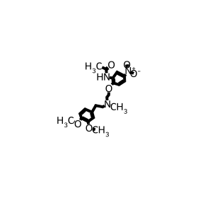 COc1ccc(CCN(C)CCOc2ccc([N+](=O)[O-])cc2NC(C)=O)cc1OC